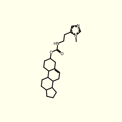 Cn1cncc1CCNC(=O)OC1CCC2C(=CCC3C4CCCC4CCC23)C1